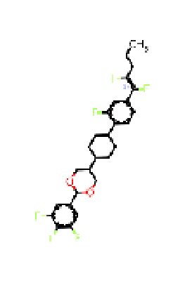 CCC/C(F)=C(\F)c1ccc(C2CCC(C3COC(c4cc(F)c(F)c(F)c4)OC3)CC2)c(F)c1